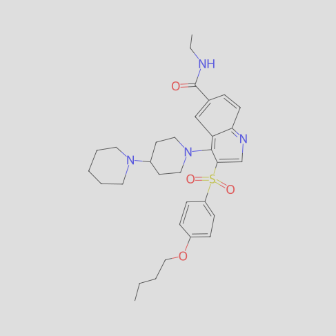 CCCCOc1ccc(S(=O)(=O)c2cnc3ccc(C(=O)NCC)cc3c2N2CCC(N3CCCCC3)CC2)cc1